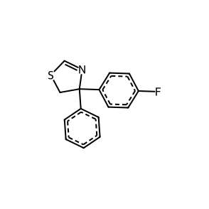 Fc1ccc(C2(c3ccccc3)CSC=N2)cc1